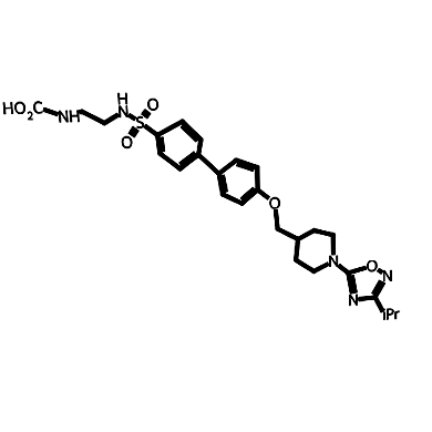 CC(C)c1noc(N2CCC(COc3ccc(-c4ccc(S(=O)(=O)NCCNC(=O)O)cc4)cc3)CC2)n1